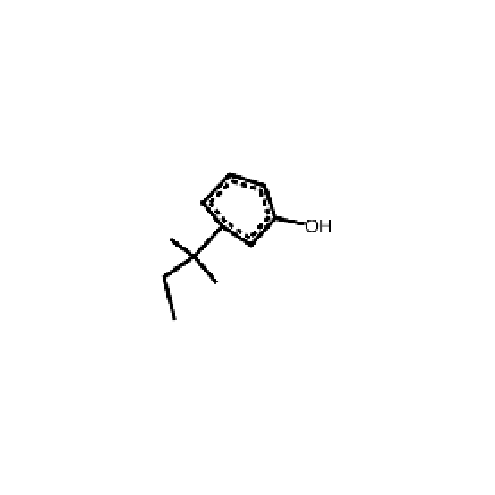 CCC(C)(C)c1cccc(O)c1